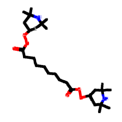 CC1(C)CC(OOC(=O)CCCCCCCCC(=O)OOC2CC(C)(C)NC(C)(C)C2)CC(C)(C)N1